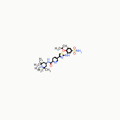 CC(C)Oc1ccc(S(N)(=O)=O)cc1Nc1nc(C2=CCC(C(=O)NC3CC(C)(C)N(C)C(C)(C)C3)N=C2)cs1